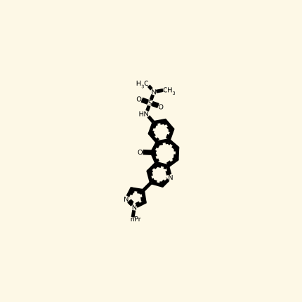 CCCn1cc(-c2cnc3ccc4ccc(NS(=O)(=O)N(C)C)cc4c(=O)c3c2)cn1